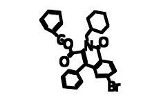 O=C(OCc1ccccc1)c1c(-c2ccccc2)c2cc(Br)ccc2c(=O)n1CC1CCCCC1